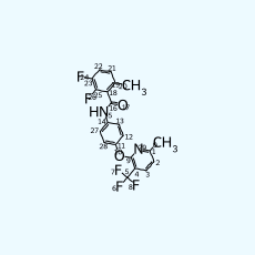 Cc1ccc(C(F)(F)F)c(Oc2ccc(NC(=O)c3c(C)ccc(F)c3F)cc2)n1